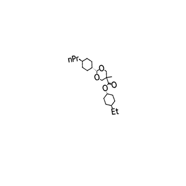 CCC[C@H]1CC[C@H](C2OCC(C)(C(=O)O[C@H]3CC[C@H](CC)CC3)CO2)CC1